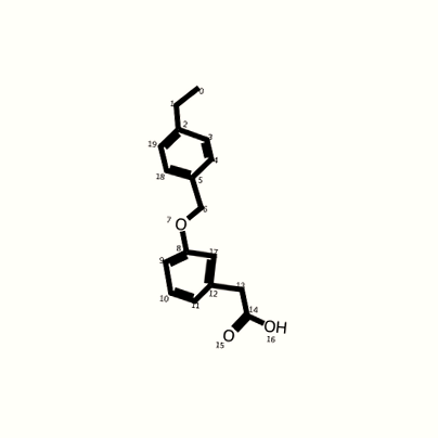 CCc1ccc(COc2cccc(CC(=O)O)c2)cc1